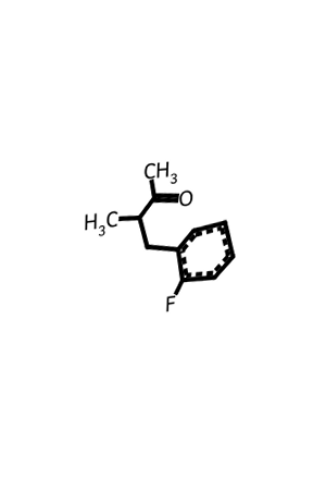 CC(=O)C(C)Cc1ccccc1F